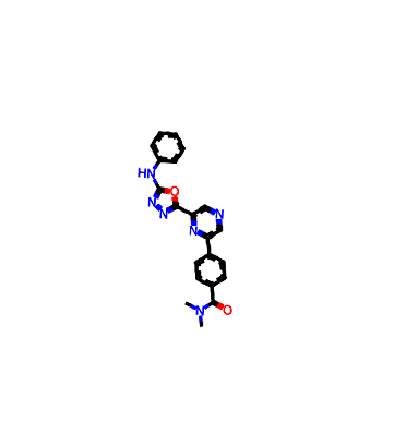 CN(C)C(=O)c1ccc(-c2cncc(-c3nnc(Nc4ccccc4)o3)n2)cc1